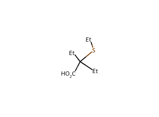 CCSC(CC)(CC)C(=O)O